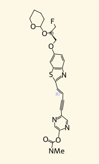 CNC(=O)Oc1cnc(C#C/C=C/c2nc3ccc(OC[C@H](CF)OC4CCCCO4)cc3s2)cn1